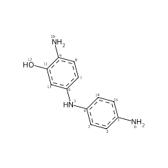 Nc1ccc(Nc2ccc(N)c(O)c2)cc1